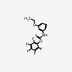 CCOc1cccc(NC(=S)Oc2c(F)c(F)c(F)c(F)c2F)c1